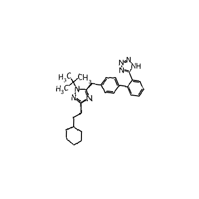 CC(C)(C)n1nc(CCC2CCCCC2)nc1Cc1ccc(-c2ccccc2-c2nnn[nH]2)cc1